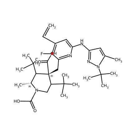 C=Cc1cc(Nc2cc(C)n(C(C)(C)C)n2)nc(C[C@@]2(C(=O)O)C(C(C)(C)C)CN(C(=O)O)[C@H](C)C2C(C)(C)C)c1F